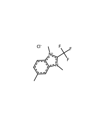 Cc1ccc2c(c1)n(C)c(C(F)(F)F)[n+]2C.[Cl-]